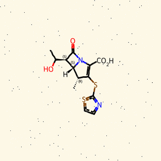 CC(O)[C@H]1C(=O)N2C(C(=O)O)=C(Sc3nccs3)[C@H](C)[C@H]12